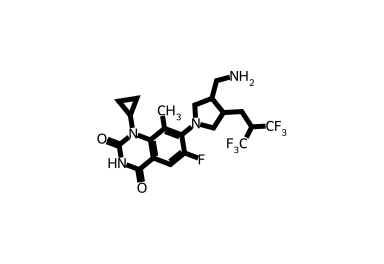 Cc1c(N2CC(CN)C(CC(C(F)(F)F)C(F)(F)F)C2)c(F)cc2c(=O)[nH]c(=O)n(C3CC3)c12